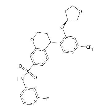 O=S(=O)(Nc1cccc(F)n1)c1ccc2c(c1)OCC[C@@H]2c1ccc(C(F)(F)F)cc1O[C@H]1CCOC1